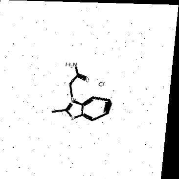 Cc1sc2ccccc2[n+]1CC(N)=O.[Cl-]